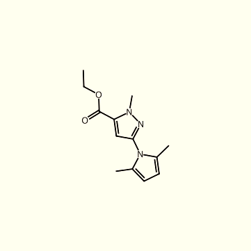 CCOC(=O)c1cc(-n2c(C)ccc2C)nn1C